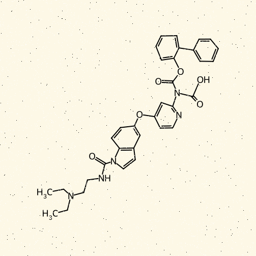 CCN(CC)CCNC(=O)n1ccc2cc(Oc3ccnc(N(C(=O)O)C(=O)Oc4ccccc4-c4ccccc4)c3)ccc21